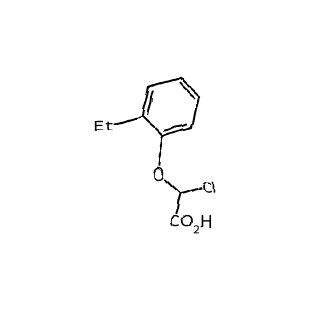 CCc1ccccc1OC(Cl)C(=O)O